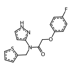 O=C(COc1ccc(F)cc1)N(Cc1cccs1)c1cc[nH]n1